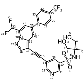 CC(CO)(CO)NS(=O)(=O)c1cncc(C#Cc2cnn3c(C(F)F)cc(-c4ccc(C(F)(F)F)cc4)nc23)c1